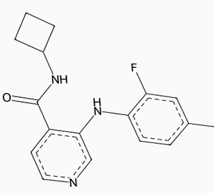 O=C(NC1CCC1)c1ccncc1Nc1ccc(I)cc1F